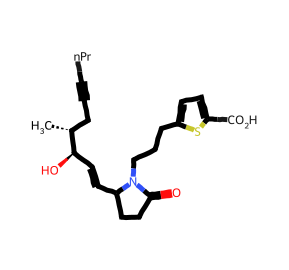 CCCC#CC[C@@H](C)[C@H](O)C=CC1CCC(=O)N1CCCc1ccc(C(=O)O)s1